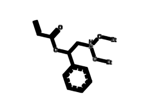 C=CC(=O)OC(C[SiH](OCC)OCC)c1ccccc1